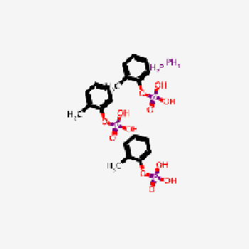 Cc1ccccc1OP(=O)(O)O.Cc1ccccc1OP(=O)(O)O.Cc1ccccc1OP(=O)(O)O.P.P